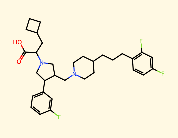 O=C(O)C(CC1CCC1)N1CC(CN2CCC(CCCc3ccc(F)cc3F)CC2)C(c2cccc(F)c2)C1